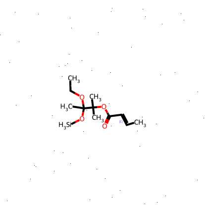 C/C=C/C(=O)OC(C)(C)C(C)(O[SiH3])OCC